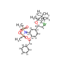 CC(C)(C)[Si](C)(C)O[C@@H](CBr)c1ccc(OCc2ccccc2)c(N(S(C)(=O)=O)S(C)(=O)=O)c1